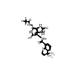 CC1(C)CCOc2c(C(=O)NC3CN4C(=N)N[C@@H](CNC(=O)C(F)(F)F)C5NC(=N)NC54[C@@H]3O)cccc21